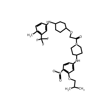 Cc1ccc(NC2CCC(OCC(=O)N3CCC(Nc4ccc([N+](=O)[O-])c(OCC(C)C)c4)CC3)CC2)cc1C(F)(F)F